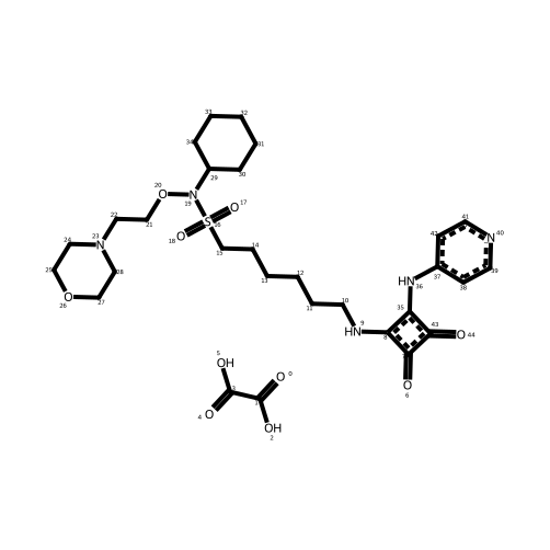 O=C(O)C(=O)O.O=c1c(NCCCCCCS(=O)(=O)N(OCCN2CCOCC2)C2CCCCC2)c(Nc2ccncc2)c1=O